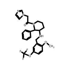 COc1ccc(OC(F)(F)F)cc1CNC1CCCN(C(=O)Cn2ccnc2)C1c1ccccc1